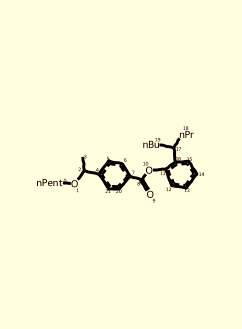 CCCCCOC(C)c1ccc(C(=O)Oc2ccccc2C(CCC)CCCC)cc1